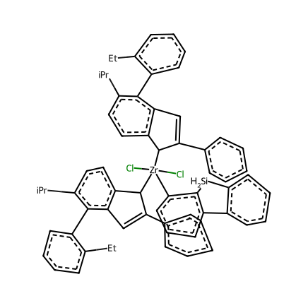 CCc1ccccc1-c1c(C(C)C)ccc2c1C=C(c1ccccc1)[CH]2[Zr]([Cl])([Cl])([c]1cccc2c1[SiH2]c1ccccc1-2)[CH]1C(c2ccccc2)=Cc2c1ccc(C(C)C)c2-c1ccccc1CC